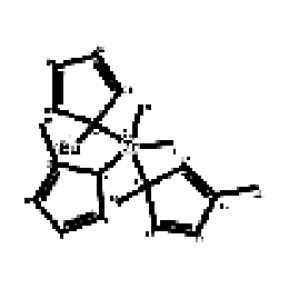 CCCC[C]1([Zr]([CH3])([CH3])([CH]2C=CC=C2C)[C]2(C)C=CC(C)=C2)C=CC=C1